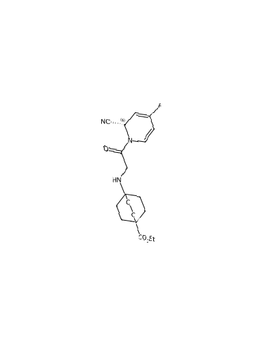 CCOC(=O)C12CCC(NCC(=O)N3C=CC(F)=C[C@H]3C#N)(CC1)CC2